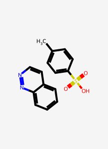 Cc1ccc(S(=O)(=O)O)cc1.c1ccc2nnccc2c1